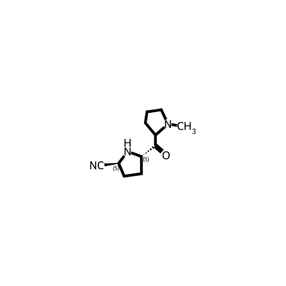 CN1CCCC1C(=O)[C@@H]1CC[C@@H](C#N)N1